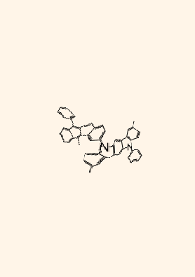 Cc1ccc2c(c1)c1cc3c(cc1n2-c1ccccc1)c1cc(C)ccc1n3-c1ccc2ccc3c(-c4ccccc4)c4ccccc4c(C)c3c2c1